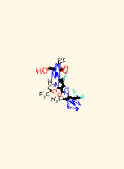 CCn1c(CO)nn(-c2nc(OC(C)C(F)(F)F)c(C(=O)Nc3c(C(F)F)n[nH]c3C)cc2F)c1=O